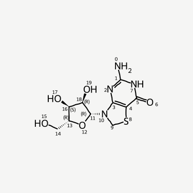 Nc1nc2c(c(=O)[nH]1)SCN2[C@@H]1O[C@H](CO)[C@@H](O)[C@H]1O